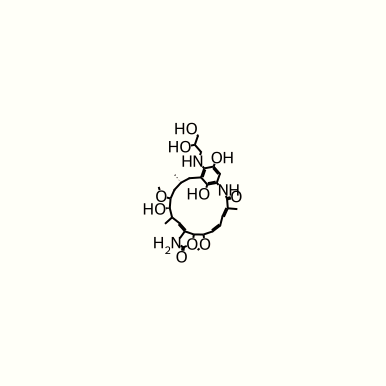 COC1/C=C\C=C(/C)C(=O)Nc2cc(O)c(NCC(O)CO)c(c2O)C[C@@H](C)CC(OC)[C@H](O)C(C)/C=C(\C)C1OC(N)=O